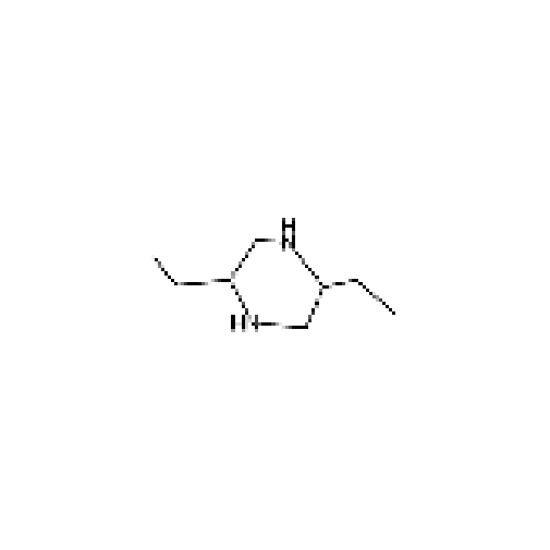 CCC1CNC(CC)CN1